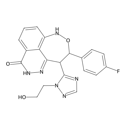 O=c1[nH]nc2c3c(cccc13)NOC(c1ccc(F)cc1)C2c1ncnn1CCO